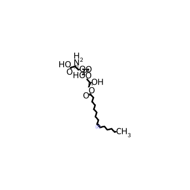 CCCCC/C=C\CCCCCCCC(=O)OC[C@@H](O)COP(=O)(O)OC[C@H](N)C(=O)O